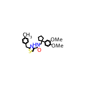 COc1ccc(C2(CNC(=O)c3csc(Cc4ccc(C)cc4)n3)CCCC2)cc1OC